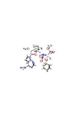 CC(=O)O[C@H]1[C@H](c2ccc3c(N)ncnn23)O[C@](C#N)(COP(=O)(N[C@@H](C)C(=O)OC(C)C)Oc2ccccc2)[C@H]1OC(C)=O